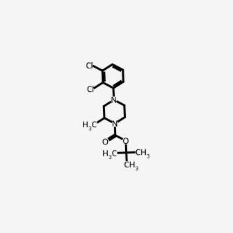 CC1CN(c2cccc(Cl)c2Cl)CCN1C(=O)OC(C)(C)C